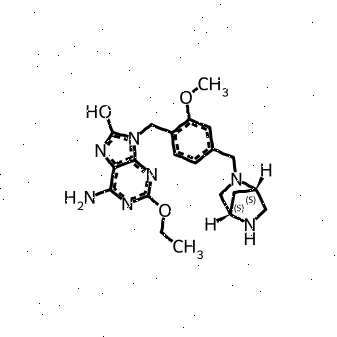 CCOc1nc(N)c2nc(O)n(Cc3ccc(CN4C[C@@H]5C[C@H]4CN5)cc3OC)c2n1